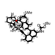 CSc1nc2c3c(nc(-c4cc(NC(=O)OC(C)(C)C)cc5ccc(F)c(C#C[Si](C(C)C)(C(C)C)C(C)C)c45)c(F)c3n1)O[C@@H](C)[C@@H]1[C@@H]3CC[C@H](CN21)N3C(=O)OC(C)(C)C